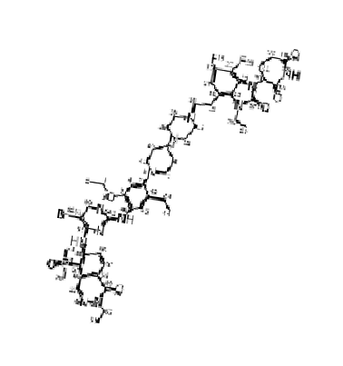 CCOc1cc(N2CCC(N3CCN(CCc4cc(F)c(F)c5c4n(CC)c(=O)n5C4CCC(=O)NC4=O)CC3)CC2)c(CC)cc1Nc1ncc(Br)c(Nc2ccc3c(=O)n(CC)ncc3c2P(C)(C)=O)n1